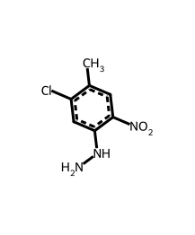 Cc1cc([N+](=O)[O-])c(NN)cc1Cl